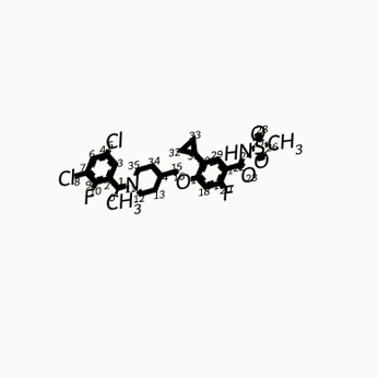 C[C@@H](c1cc(Cl)cc(Cl)c1F)N1CCC(COc2cc(F)c(C(=O)NS(C)(=O)=O)cc2C2CC2)CC1